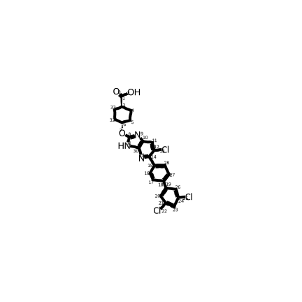 O=C(O)[C@H]1CC[C@H](Oc2nc3cc(Cl)c(-c4ccc(-c5cc(Cl)cc(Cl)c5)cc4)nc3[nH]2)CC1